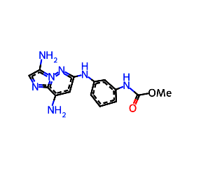 COC(=O)Nc1cccc(Nc2cc(N)c3ncc(N)n3n2)c1